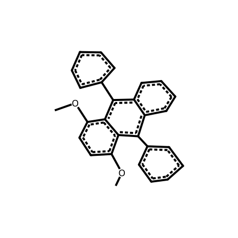 COc1ccc(OC)c2c(-c3ccccc3)c3ccccc3c(-c3ccccc3)c12